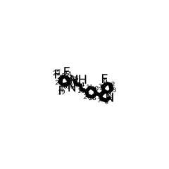 Fc1ccc2nccc(C3CCC(CCc4nc5c(F)cc(F)c(F)c5[nH]4)CC3)c2c1